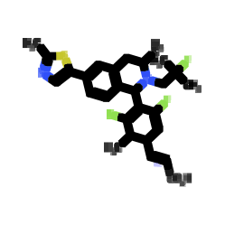 Cc1ncc(-c2ccc3c(c2)CC(C)N(CC(C)(C)F)C3C2=C(F)C(C)C(/C=C/C(=O)O)C=C2F)s1